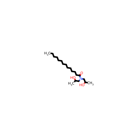 CCCCCCCCCCCCCC(=O)N(CC(C)O)CC(C)O